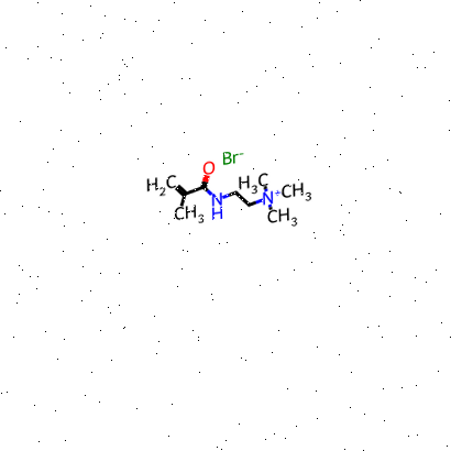 C=C(C)C(=O)NCC[N+](C)(C)C.[Br-]